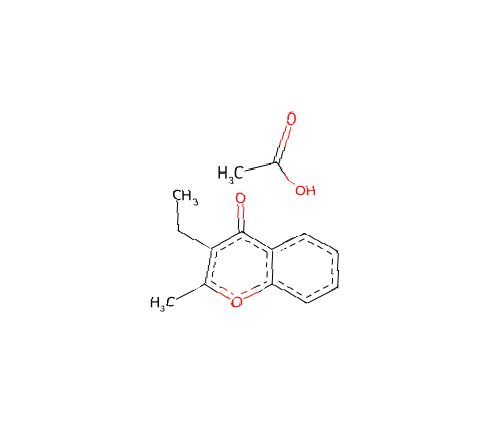 CC(=O)O.CCc1c(C)oc2ccccc2c1=O